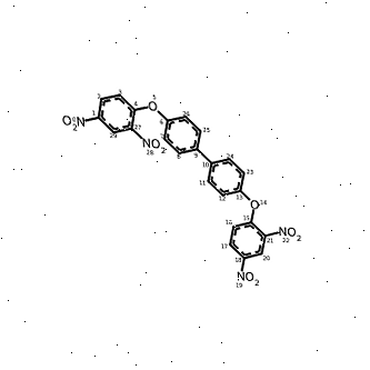 O=[N+]([O-])c1ccc(Oc2ccc(-c3ccc(Oc4ccc([N+](=O)[O-])cc4[N+](=O)[O-])cc3)cc2)c([N+](=O)[O-])c1